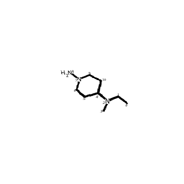 CCN(C)C1CCN(N)CC1